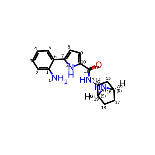 Nc1ccccc1-c1ccc(C(=O)N[C@@H]2C[C@H]3CC[C@@H]2N3)[nH]1